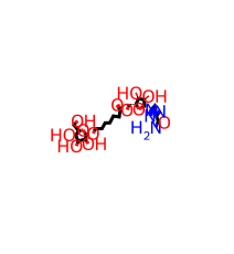 NC(=O)c1ncn([C@@H]2O[C@H](COC(=O)CCCCCCO[C@@H]3OC(CO)[C@H](O)C(O)C3O)[C@@H](O)[C@H]2O)n1